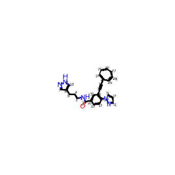 O=C(NCCCc1cn[nH]c1)c1ccc(-n2cccn2)c(C#CC2=CC=CCC=C2)c1